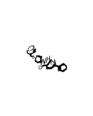 O=C(NC1CCN(CC2CCOCC2)CC1)c1ccc(-c2ccccc2)nc1